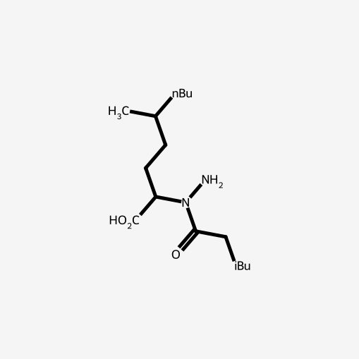 CCCCC(C)CCC(C(=O)O)N(N)C(=O)CC(C)CC